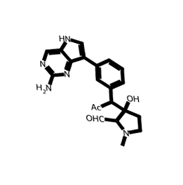 CC(=O)C(c1cccc(-c2c[nH]c3cnc(N)nc23)c1)C1(O)CCN(C)C1C=O